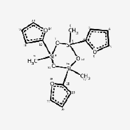 C[Si]1(c2ccco2)O[Si](C)(c2ccco2)O[Si](C)(c2ccco2)O1